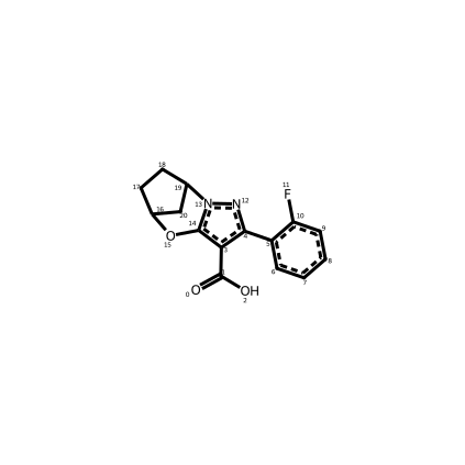 O=C(O)c1c(-c2ccccc2F)nn2c1OC1CCC2C1